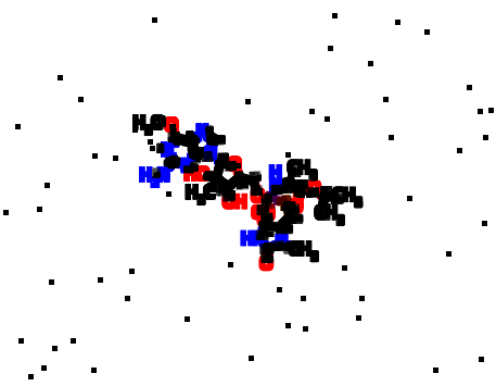 COc1nc(N)nc2c1ncn2[C@@H]1OC(CO[P@@](=O)(N[C@H](C)C(=O)OC(C)C)SCC2C(=O)NC(=O)N2C)[C@@H](O)[C@@]1(C)O